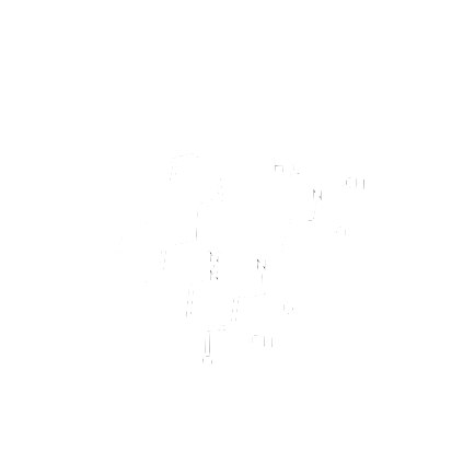 CN(C)C(=O)CCN1CN(C(c2ccccc2)c2ccccc2)n2ccc(=O)c(O)c2C1=O